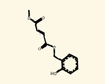 COC(=O)/C=C/C(=O)OCc1ccccc1O